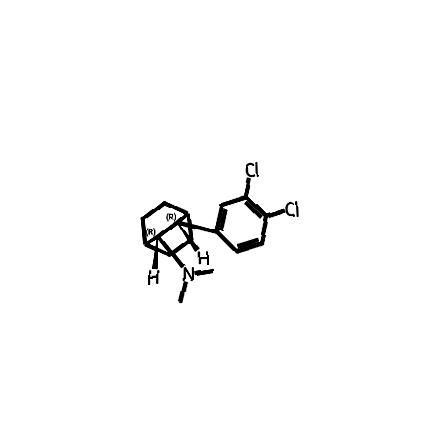 CN(C)[C@@H]1C2CCC(CC2)[C@@H]1c1ccc(Cl)c(Cl)c1